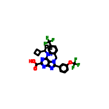 CC(Nc1nc(C(=O)O)nc2nc(-c3cccc(OC(F)(F)F)c3)n(Cc3ccc(C(F)(F)F)cc3)c12)C1CCC1